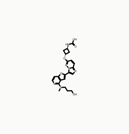 CN(CCCO)c1nccc2oc(-c3cnc4ccc(O[C@H]5C[C@H](NC(=O)O)C5)nn34)cc12